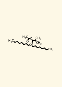 C=C(C)C(=O)OC(C)=O.CCCCCCC[CH2][Sn][CH2]CCCCCCC